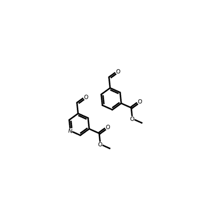 COC(=O)c1cccc(C=O)c1.COC(=O)c1cncc(C=O)c1